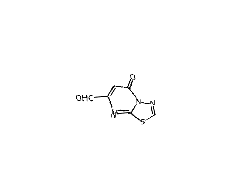 O=Cc1cc(=O)n2ncsc2n1